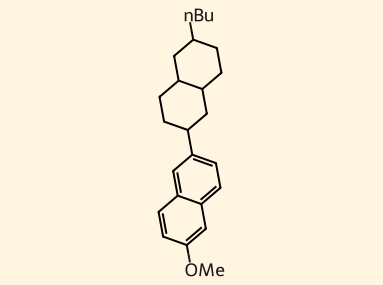 CCCCC1CCC2CC(c3ccc4cc(OC)ccc4c3)CCC2C1